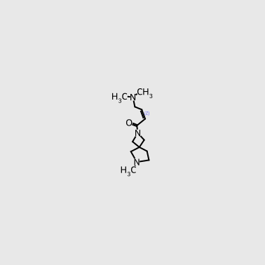 CN(C)C/C=C\C(=O)N1CC2(CCN(C)C2)C1